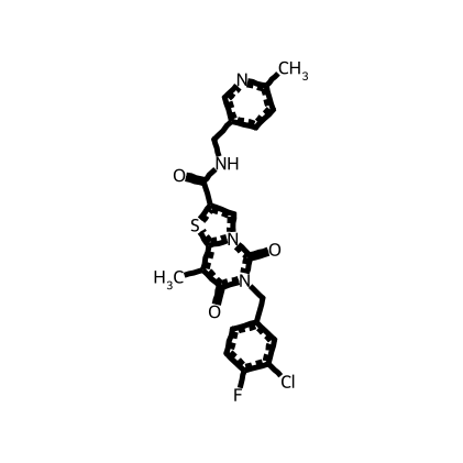 Cc1ccc(CNC(=O)c2cn3c(=O)n(Cc4ccc(F)c(Cl)c4)c(=O)c(C)c3s2)cn1